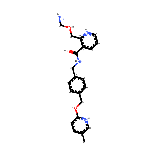 Cc1ccc(OCc2ccc(CNC(=O)c3cccnc3COCN)cc2)nc1